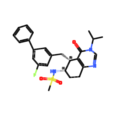 CC(C)n1cnc2c(c1=O)[C@@H](Cc1cc(F)cc(-c3ccccc3)c1)[C@@H](NS(C)(=O)=O)CC2